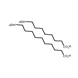 CCCCCCCCCCCCCCCCCC(=O)O.CCCCCCCCCCCCCCCCCCCC(=O)O